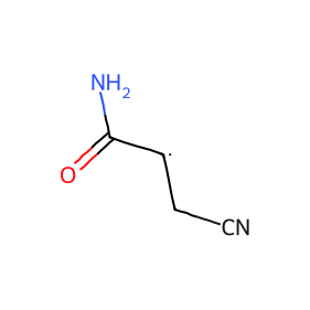 N#CC[CH]C(N)=O